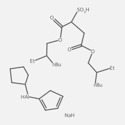 C1=CC[C]([AlH][CH]2CCCC2)=C1.CCCCC(CC)COC(=O)CC(C(=O)OCC(CC)CCCC)S(=O)(=O)O.[NaH]